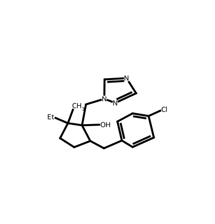 CCC1(C)CCC(Cc2ccc(Cl)cc2)C1(O)Cn1cncn1